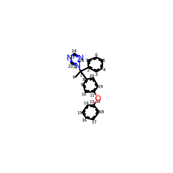 CC(c1ccccc1)(c1ccc(Oc2ccccc2)cc1)n1cncn1